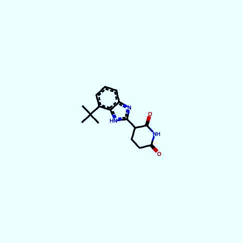 CC(C)(C)c1cccc2nc(C3CCC(=O)NC3=O)[nH]c12